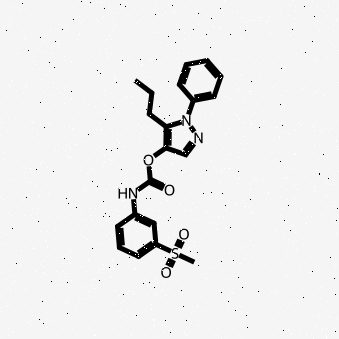 CCCc1c(OC(=O)Nc2cccc(S(C)(=O)=O)c2)cnn1-c1ccccc1